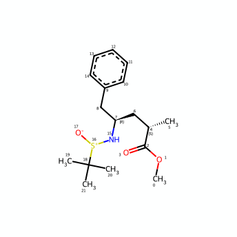 COC(=O)[C@@H](C)C[C@H](Cc1ccccc1)N[S+]([O-])C(C)(C)C